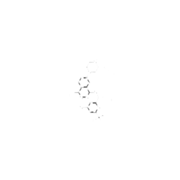 CC[C@@H]1CN(c2ccc3c(C)nnc(N[C@H](C)c4cc(N)cc(C(F)(F)F)n4)c3c2)CCN1C